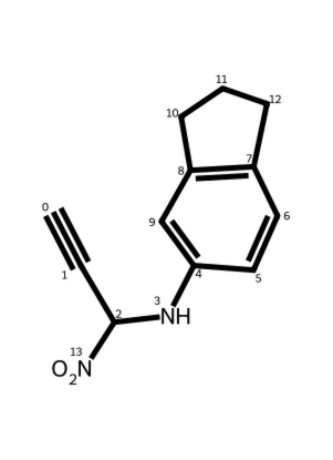 C#CC(Nc1ccc2c(c1)CCC2)[N+](=O)[O-]